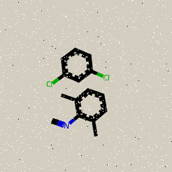 C=Nc1c(C)cccc1C.Clc1cccc(Cl)c1